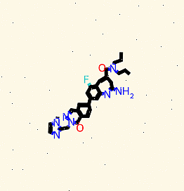 CCCN(CCC)C(=O)C1=Cc2c(F)cc(-c3ccc4c(=O)n(Cc5nccn5C)ncc4c3)cc2N=C(N)C1